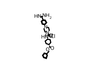 Cl.Cl.N=C(N)c1ccc(N2CCN(C(=O)N[C@H]3CC[C@H](C(=O)OCc4ccccc4)CC3)CC2)cc1